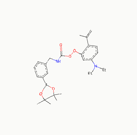 C=C(C)c1ccc(N(CC)CC)cc1OOC(=O)NCc1cccc(B2OC(C)(C)C(C)(C)O2)c1